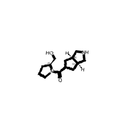 O=C(C1C[C@H]2CNC[C@H]2C1)N1CCC[C@H]1CO